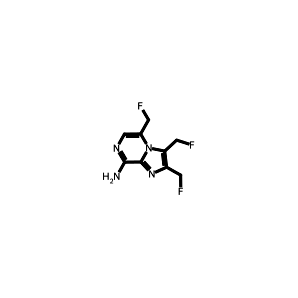 Nc1ncc(CF)n2c(CF)c(CF)nc12